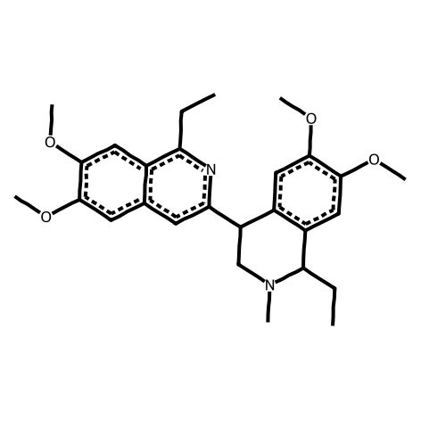 CCc1nc(C2CN(C)C(CC)c3cc(OC)c(OC)cc32)cc2cc(OC)c(OC)cc12